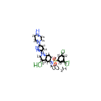 Cl.O=C(O)CN(c1ccc2c(c1)CCN2c1ccc(N2CCNCC2)nn1)S(=O)(=O)c1cc(Cl)cc(Cl)c1